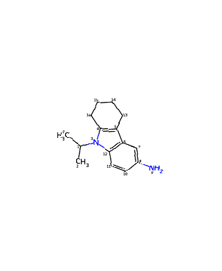 CC(C)n1c2c(c3cc(N)ccc31)CCCC2